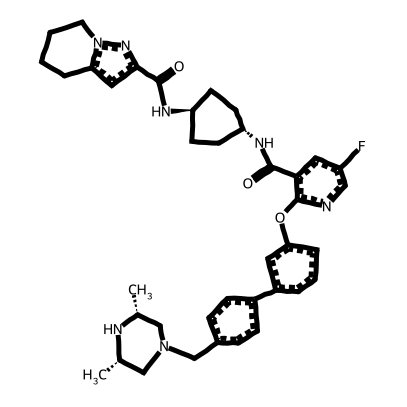 C[C@@H]1CN(Cc2ccc(-c3cccc(Oc4ncc(F)cc4C(=O)N[C@H]4CC[C@H](NC(=O)c5cc6n(n5)CCCC6)CC4)c3)cc2)C[C@H](C)N1